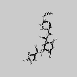 COCc1ccc(NC(=O)c2cc(NC(=O)c3cnc(C)s3)c(Cl)cc2F)nc1